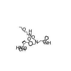 CCCOCCCNC(=O)OCCN(CCc1c[nH]c2ccccc12)Cc1ccc(C2C#CC2C(=O)NO)cc1